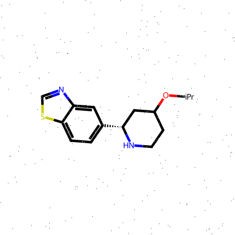 CC(C)OC1CCN[C@H](c2ccc3scnc3c2)C1